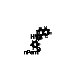 CCCCCOc1cccc(N2C=C3c4ccccc4C=CN3N2)c1